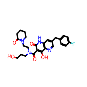 O=C1CCCCN1CCN(CCCO)C(=O)c1c(O)c2ncc(Cc3ccc(F)cc3)cc2[nH]c1=O